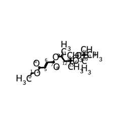 CCOC(=O)C=CC(=O)OC(C)CC(C)(C)OOC(C)(C)C